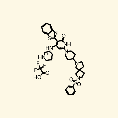 O=C(O)C(F)(F)F.O=c1[nH]c(N2CCC(N3CCC4(CCN(S(=O)(=O)c5ccccc5)C4)C3)CC2)cc(N[C@@H]2CCCNC2)c1-c1nc2ccccc2s1